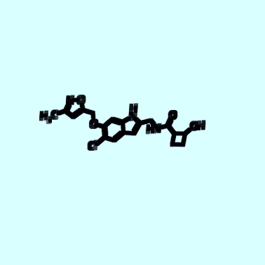 Cc1cc(COc2cc3[nH]c(CNC(=O)C4CCC4O)cc3cc2Cl)on1